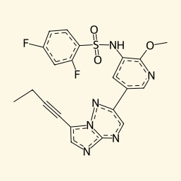 CCC#Cc1cnc2ncc(-c3cnc(OC)c(NS(=O)(=O)c4ccc(F)cc4F)c3)nn12